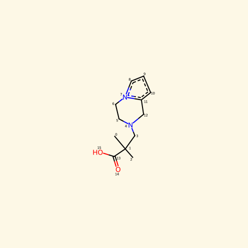 CC(C)(CN1CCn2cccc2C1)C(=O)O